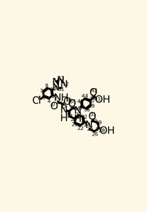 O=C(Nc1cc(Cl)ccc1-n1cnnn1)C(=O)NC(Cc1ccc(N2CCC(O)CC2=O)cc1)C(=O)Nc1ccc(C(=O)O)cc1